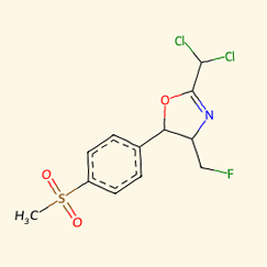 CS(=O)(=O)c1ccc(C2OC(C(Cl)Cl)=NC2CF)cc1